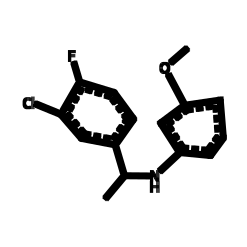 COc1cccc(NC(C)c2ccc(F)c(Cl)c2)c1